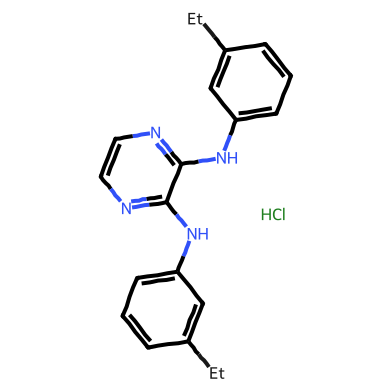 CCc1cccc(Nc2nccnc2Nc2cccc(CC)c2)c1.Cl